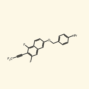 CCCc1ccc(COc2ccc3c(F)c(C#CC(F)(F)F)c(F)cc3c2)cc1